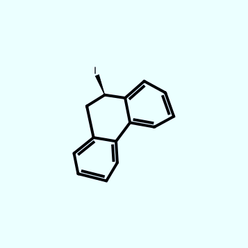 I[C@@H]1Cc2ccccc2-c2ccccc21